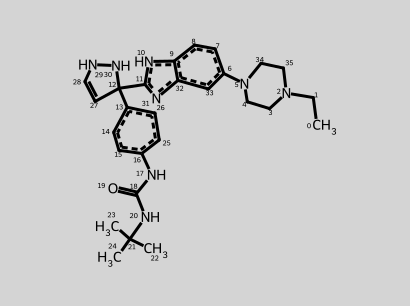 CCN1CCN(c2ccc3[nH]c(C4(c5ccc(NC(=O)NC(C)(C)C)cc5)C=CNN4)nc3c2)CC1